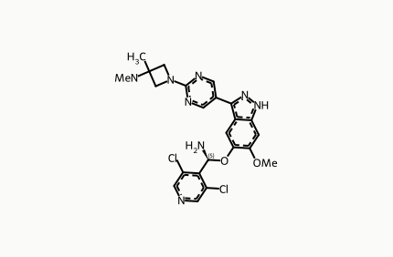 CNC1(C)CN(c2ncc(-c3n[nH]c4cc(OC)c(O[C@H](N)c5c(Cl)cncc5Cl)cc34)cn2)C1